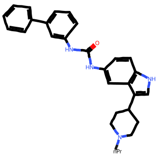 CCCN1CCC(c2c[nH]c3ccc(NC(=O)Nc4cccc(-c5ccccc5)c4)cc23)CC1